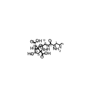 CC(C)C[C@H](N)C(=O)N[C@@H](C)C(=O)N[C@@]1(C(=O)O)C[C@H](O)[C@H]2[C@H](C(=O)O)[C@H]21